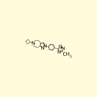 Cc1noc(-c2ccc(-n3cc4c(n3)CCN(C3CCC3)CC4)cc2)n1